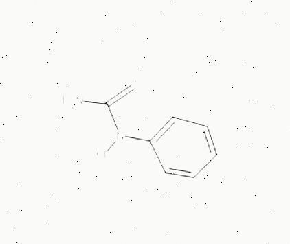 NC(=S)N(Cl)c1ccccc1